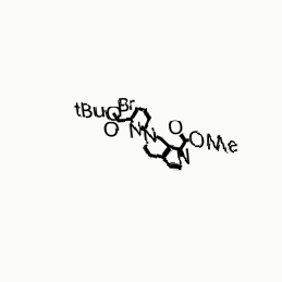 COC(=O)c1nccc2c1CN(c1ccc(Br)c(C(=O)OC(C)(C)C)n1)CC2